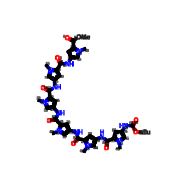 COC(=O)c1cc(NC(=O)c2cc(NC(=O)c3cc(NC(=O)c4cc(NC(=O)c5cc(NC(=O)c6cc(NC(=O)OC(C)(C)C)cn6C)cn5C)cn4C)cn3C)cn2C)cn1C